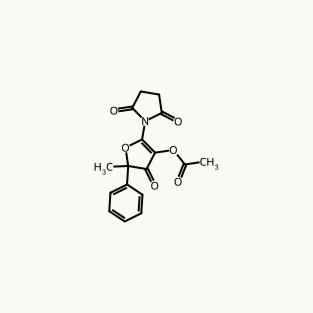 CC(=O)OC1=C(N2C(=O)CCC2=O)OC(C)(c2ccccc2)C1=O